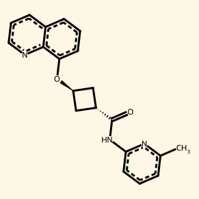 Cc1cccc(NC(=O)[C@H]2C[C@H](Oc3cccc4cccnc34)C2)n1